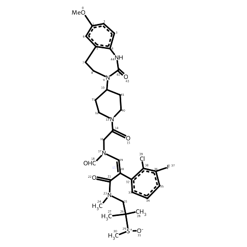 COc1ccc2c(c1)CCN(C1CCN(C(=O)CN(C=O)/C=C(\C(=O)N(C)CC(C)(C)[S+](C)[O-])c3cccc(F)c3Cl)CC1)C(=O)N2